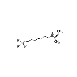 CC=C(C)[SiH2]CCCCCCCC[Si](Br)(Br)Br